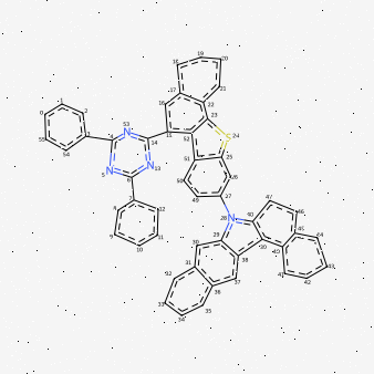 c1ccc(-c2nc(-c3ccccc3)nc(-c3cc4ccccc4c4sc5cc(-n6c7cc8ccccc8cc7c7c8ccccc8ccc76)ccc5c34)n2)cc1